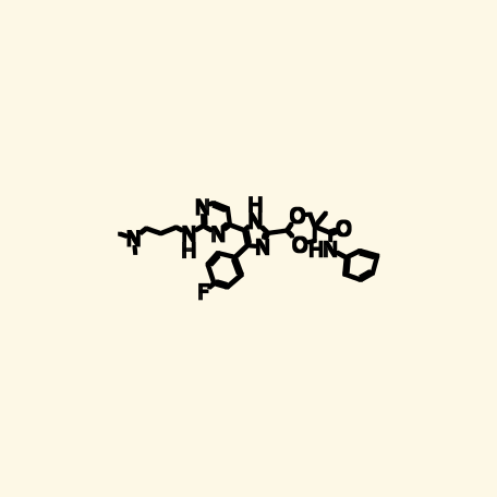 CN(C)CCCNc1nccc(-c2[nH]c(C3OCC(C)(C(=O)Nc4ccccc4)CO3)nc2-c2ccc(F)cc2)n1